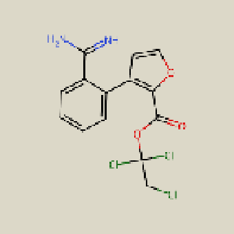 N=C(N)c1ccccc1-c1ccoc1C(=O)OC(Cl)(Cl)CCl